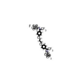 O=S(=O)(O/N=C(/c1ccc(OCCCOc2ccc(/C(=N\OS(=O)(=O)C(F)(F)F)C(F)(F)F)cc2)cc1)C(F)(F)F)C(F)(F)F